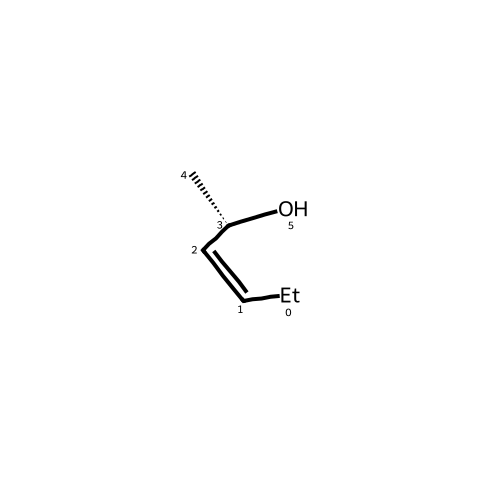 CC/C=C\[C@H](C)O